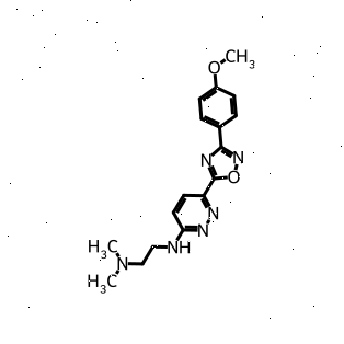 COc1ccc(-c2noc(-c3ccc(NCCN(C)C)nn3)n2)cc1